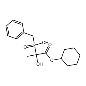 CC(O)(C(=O)OC1CCCCC1)P(=O)(O)Cc1ccccc1